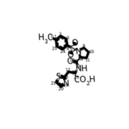 Cc1ccc(S(=O)(=O)N2CCC[C@H]2C(=O)N[C@@H](Cc2nccs2)C(=O)O)cc1